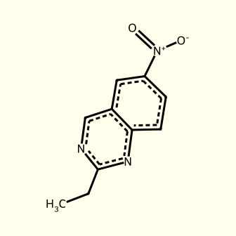 CCc1ncc2cc([N+](=O)[O-])ccc2n1